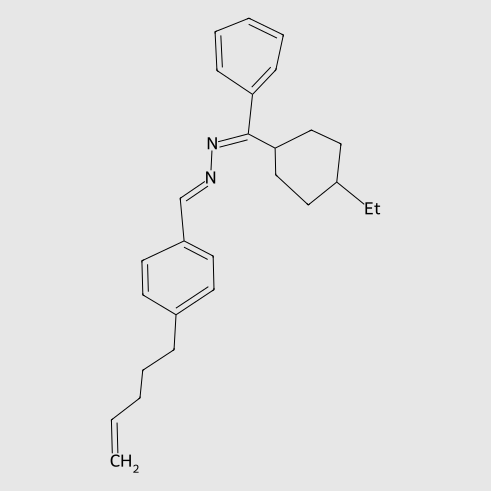 C=CCCCc1ccc(C=NN=C(c2ccccc2)C2CCC(CC)CC2)cc1